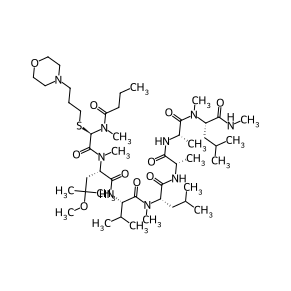 CCCC(=O)N(C)[C@H](SCCCN1CCOCC1)C(=O)N(C)[C@@H](CC(C)(C)OC)C(=O)N[C@H](C(=O)N(C)[C@@H](CC(C)C)C(=O)N[C@@H](C)C(=O)N[C@@H](C)C(=O)N(C)[C@@H](CC(C)C)C(=O)NC)C(C)C